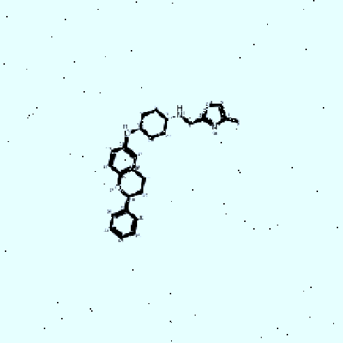 Cc1csc(CN[C@H]2CC[C@H](Oc3ccc4c(c3)CCC(c3ccccc3)O4)CC2)n1